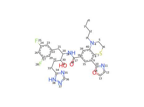 CCCCN1CCSc2c(-c3ncco3)cc(C(=O)NC(Cc3cc(F)cc(F)c3)C(O)CCc3ncn[nH]3)cc21